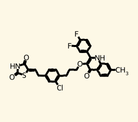 Cc1ccc2c(=O)c(OCCCc3ccc(CC=C4SC(=O)NC4=O)cc3Cl)c(-c3ccc(F)c(F)c3)[nH]c2c1